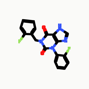 O=c1c2[nH]cnc2n(-c2ccccc2F)c(=O)n1Cc1ccccc1F